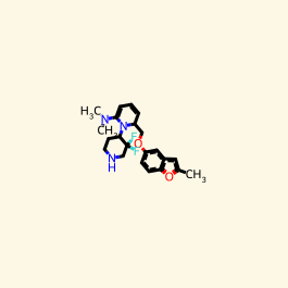 Cc1cc2cc(OCC3C=CC=C(N(C)C)N3C3CCNCC3(F)F)ccc2o1